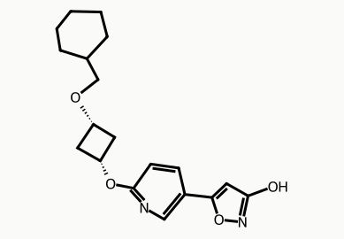 Oc1cc(-c2ccc(O[C@H]3C[C@@H](OCC4CCCCC4)C3)nc2)on1